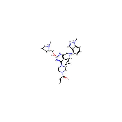 C=CC(=O)N1CCN(c2nc(OC[C@@H]3CCCN3C)nc3c2C2(CC2)CN(c2cccc4c2cnn4C)C3)CC1